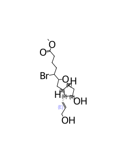 COC(=O)CCCC(Br)C1C[C@@H]2[C@@H](/C=C/CO)[C@H](O)C[C@H]2O1